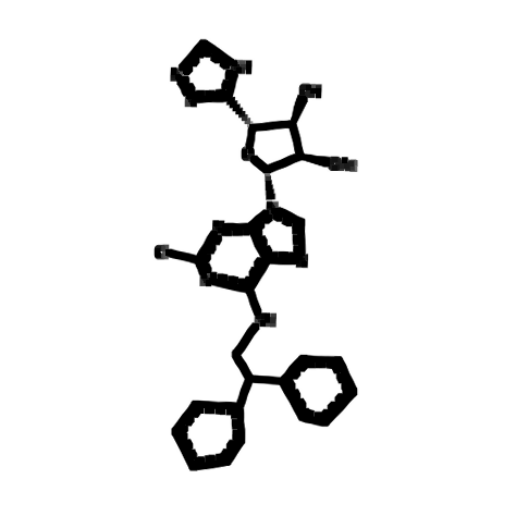 CC(=O)O[C@@H]1[C@H](O)[C@@H](c2nnc[nH]2)O[C@H]1n1cnc2c(NCC(c3ccccc3)c3ccccc3)nc(Cl)nc21